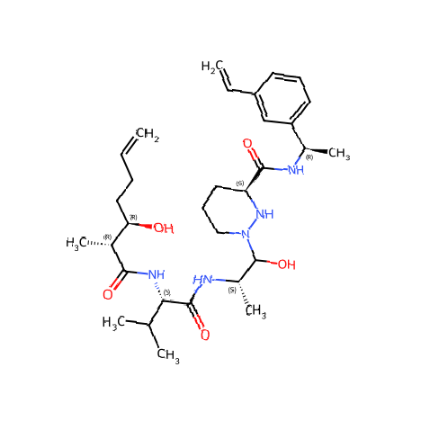 C=CCC[C@@H](O)[C@@H](C)C(=O)N[C@H](C(=O)N[C@@H](C)C(O)N1CCC[C@@H](C(=O)N[C@H](C)c2cccc(C=C)c2)N1)C(C)C